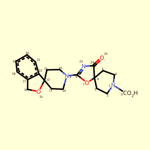 O=C(O)N1CCC2(CC1)OC(N1CCC3(CC1)OCc1ccccc13)=NC2=O